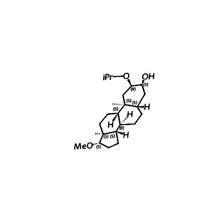 CO[C@H]1CC[C@H]2[C@@H]3CC[C@H]4C[C@H](O)[C@H](OC(C)C)C[C@]4(C)[C@H]3CC[C@]12C